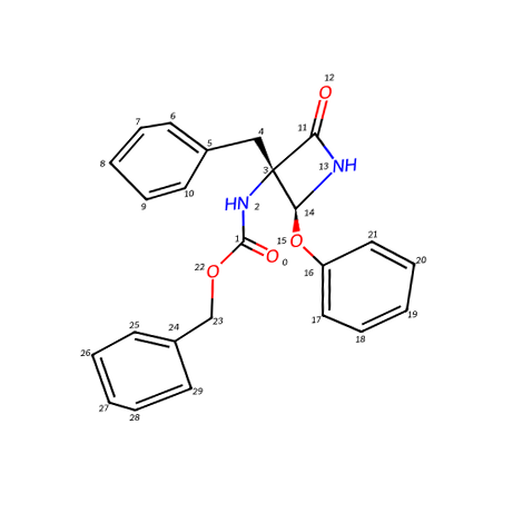 O=C(N[C@]1(Cc2ccccc2)C(=O)N[C@H]1Oc1ccccc1)OCc1ccccc1